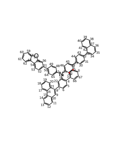 c1ccc(-c2ccc(-c3cc4ccccc4c4ccccc34)cc2N(c2ccc(-c3ccc(-c4cccc5ccccc45)cc3)cc2)c2ccc(-c3ccc4c(c3)oc3ccccc34)cc2)cc1